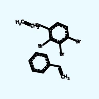 Brc1ccc(Br)c(Br)c1Br.C=C.C=Cc1ccccc1